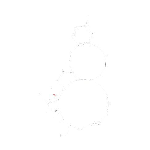 C[C@@H]1C(=O)N(C)C/C=C/CCCCN2CCCCc3cc(Cl)ccc3COc3ccc(cc32)[C@@]1(O)C(=O)O